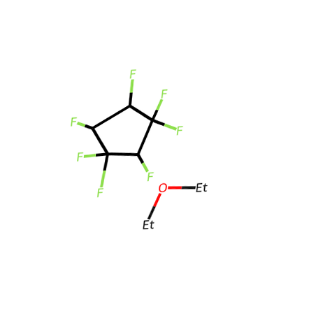 CCOCC.FC1C(F)C(F)(F)C(F)C1(F)F